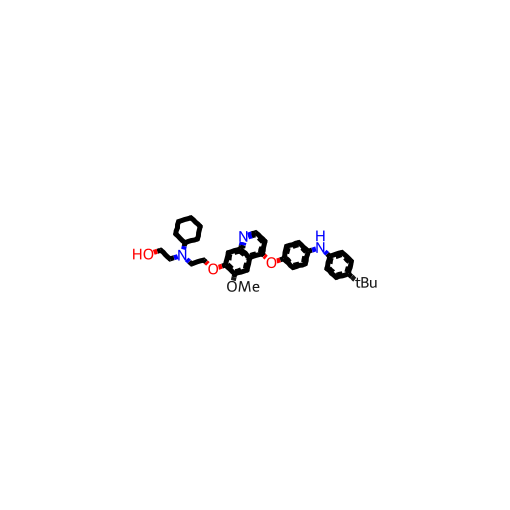 COc1cc2c(Oc3ccc(Nc4ccc(C(C)(C)C)cc4)cc3)ccnc2cc1OCCN(CCO)C1CCCCC1